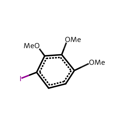 COc1ccc(I)c(OC)c1OC